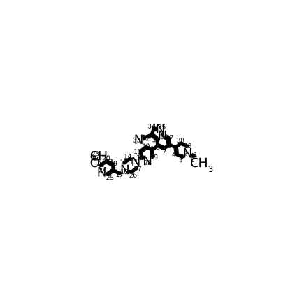 CCN1CC=C(c2cc(-c3ccc(N4CCN(Cc5ccc(OC)nc5)CC4)nc3)c3c(C#N)cnn3c2)CC1